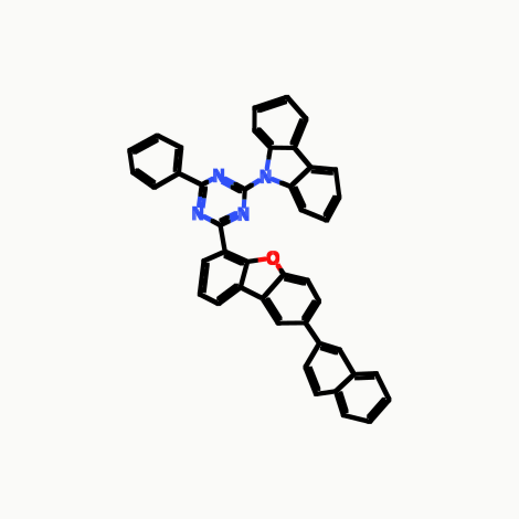 c1ccc(-c2nc(-c3cccc4c3oc3ccc(-c5ccc6ccccc6c5)cc34)nc(-n3c4ccccc4c4ccccc43)n2)cc1